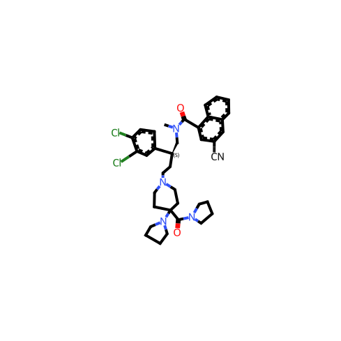 CN(C[C@@H](CCN1CCC(C(=O)N2CCCC2)(N2CCCC2)CC1)c1ccc(Cl)c(Cl)c1)C(=O)c1cc(C#N)cc2ccccc12